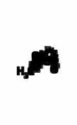 Cc1ccc(-n2nc3c(cc2=O)CCCc2sc(C=O)cc2-3)cc1